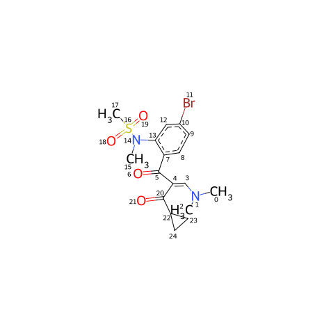 CN(C)C=C(C(=O)c1ccc(Br)cc1N(C)S(C)(=O)=O)C(=O)C1CC1